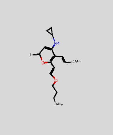 CCC1C=C(NC2CC2)C(/C=C/OC)=C(/C=C/OCCCOC)O1